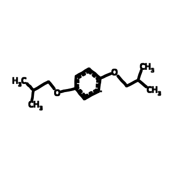 CC(C)COc1[c]cc(OCC(C)C)cc1